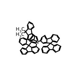 CC1(C)c2ccccc2-c2cc(N(c3ccc4c(c3)C3(c5ccccc5-c5ccccc53)c3ccccc3-4)c3cccc4c3C3(c5ccccc5-c5ccccc53)c3ccccc3-4)ccc21